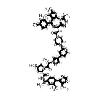 Cc1ncsc1C1C=CC([C@H](C)NC(=O)[C@@H]2C[C@@H](O)CN2C(=O)[C@H](C(C)C)n2cc(-c3ccnc(N4CCN(C(=O)C[C@@H]5N=C(c6ccc(Cl)cc6)c6c(sc(C)c6C)-n6c(C)nnc65)CC4)c3)cn2)=CC1C